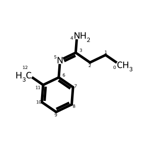 CCC/C(N)=N\c1ccccc1C